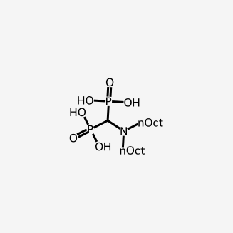 CCCCCCCCN(CCCCCCCC)C(P(=O)(O)O)P(=O)(O)O